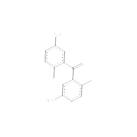 C=C(c1cc(N)ccc1C)c1cc(N)ccc1C